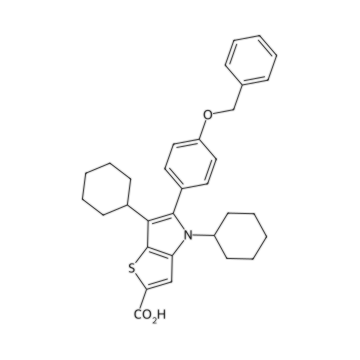 O=C(O)c1cc2c(s1)c(C1CCCCC1)c(-c1ccc(OCc3ccccc3)cc1)n2C1CCCCC1